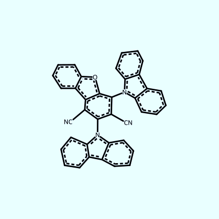 N#Cc1c(-n2c3ccccc3c3ccccc32)c(C#N)c2c(oc3ccccc32)c1-n1c2ccccc2c2ccccc21